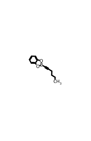 CCCCC#CB1Oc2ccccc2O1